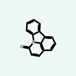 O=c1ccc2cccc3c4ccccc4n1c23